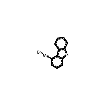 [Br][Mg][c]1cccc2sc3ccccc3c12